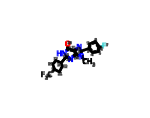 Cn1c(-c2ccc(F)cc2)nc2c(=O)[nH]c(C3CCC(C(F)(F)F)CC3)nc21